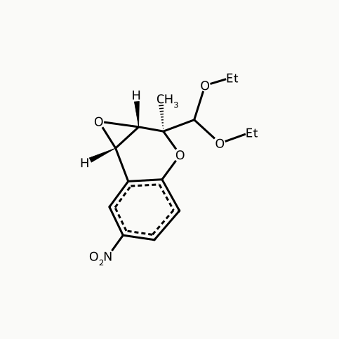 CCOC(OCC)[C@@]1(C)Oc2ccc([N+](=O)[O-])cc2[C@@H]2O[C@@H]21